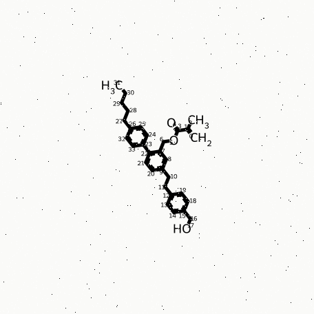 C=C(C)C(=O)OCc1cc(CCc2ccc(CO)cc2)ccc1-c1ccc(CCCCC)cc1